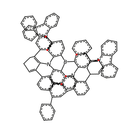 Cc1cc2c3c(c1)N(c1c(-c4cccc(-c5ccccc5)c4)cccc1C1C=CC=C(c4ccccc4)C1)c1cc(-n4c5ccccc5c5ccccc54)ccc1B3c1ccc(-n3c4ccccc4c4ccccc43)cc1N2C1=C(c2cccc(-c3ccccc3)c2)CCC=C1c1cccc(-c2ccccc2)c1